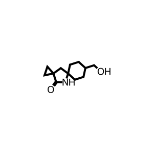 O=C1NC2(CCC(CO)CC2)CC12CC2